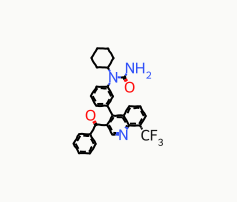 NC(=O)N(c1cccc(-c2c(C(=O)c3ccccc3)cnc3c(C(F)(F)F)cccc23)c1)C1CCCCC1